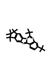 CC(C)(C)c1ccc2c(c1)nc(C(C)(C)C)n1c3cc4c(cc3nc21)C(C)(C)C(C)(C)C4(C)C